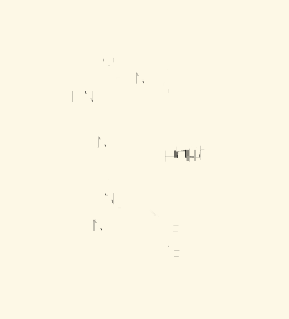 Cc1nc2cc(C(F)(F)F)ccc2n1C1CCN([C@@H]2CN[C@H](C(=O)N3CCSC3)C2)CC1.Cl.Cl.Cl